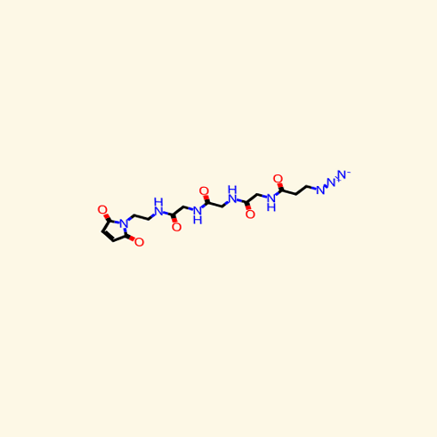 [N-]=[N+]=NCCC(=O)NCC(=O)NCC(=O)NCC(=O)NCCN1C(=O)C=CC1=O